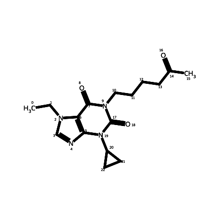 CCn1cnc2c1c(=O)n(CCCCC(C)=O)c(=O)n2C1CC1